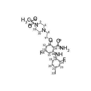 CS(=O)(=O)N1CCN(CCOc2cc(F)cc(Nc3ccc(I)cc3F)c2C(N)=O)CC1